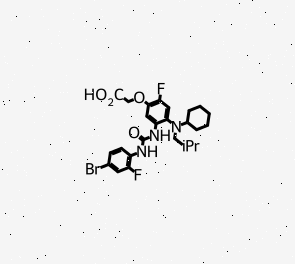 CC(C)CN(c1cc(F)c(OCC(=O)O)cc1NC(=O)Nc1ccc(Br)cc1F)C1CCCCC1